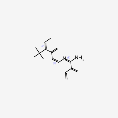 C=CC(=C)/C(N)=N\C=C/C(=C)/C(=C\C)C(C)(C)C